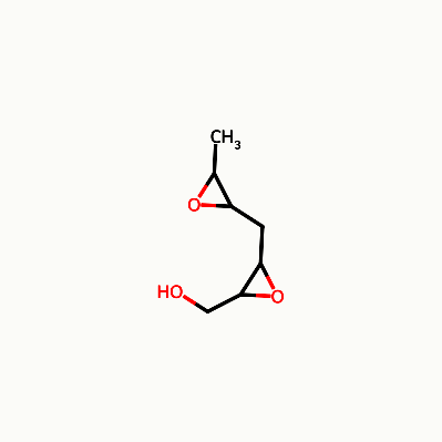 CC1OC1CC1OC1CO